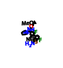 COC1(COc2nc(N3CC4CCC(C3)N4)c3cc(C(F)(F)F)c(-c4ccc(F)c5sc(N)c(C#N)c45)c(F)c3n2)CC1